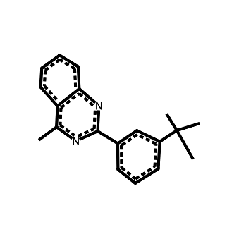 Cc1nc(-c2cccc(C(C)(C)C)c2)nc2ccccc12